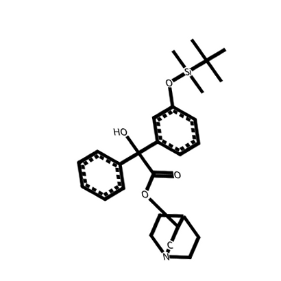 CC(C)(C)[Si](C)(C)Oc1cccc(C(O)(C(=O)OC2CN3CCC2CC3)c2ccccc2)c1